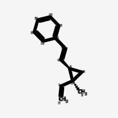 C=C[C@]1(C)C[C@@H]1/C=C/c1ccccc1